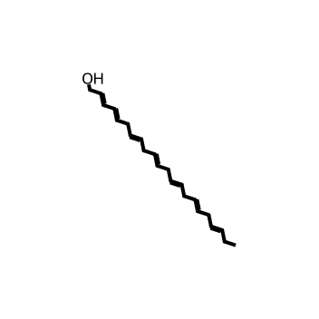 CCC=CCC=CCC=CCC=CCC=CCC=CC=CCO